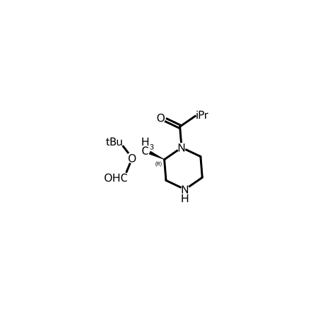 CC(C)(C)OC=O.CC(C)C(=O)N1CCNC[C@H]1C